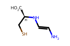 NC=CN[C@@H](CS)C(=O)O